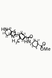 COC(=O)[C@H]1CC[C@H](NC(=O)c2ccc(-c3nc4c(s3)CNCC4)c(C)c2)CC1